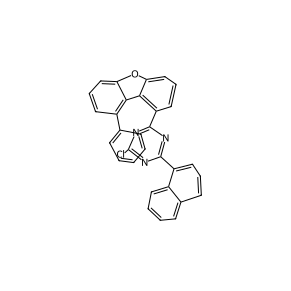 Clc1nc(-c2cccc3ccccc23)nc(-c2cccc3oc4cccc(-c5ccccc5)c4c23)n1